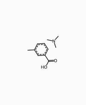 CN(C)C.Cc1cccc(C(=O)O)c1